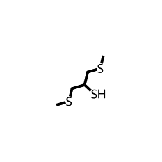 CSCC(S)CSC